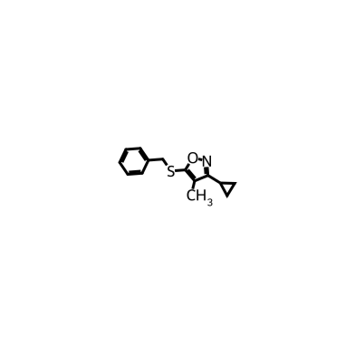 Cc1c(C2CC2)noc1SCc1ccccc1